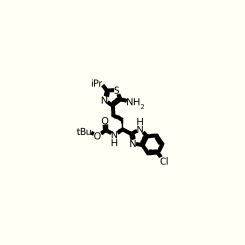 CC(C)c1nc(CC[C@H](NC(=O)OC(C)(C)C)c2nc3cc(Cl)ccc3[nH]2)c(N)s1